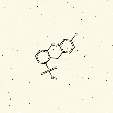 NS(=O)(=O)c1cccc(S(=O)(=O)O)c1Cc1ccc(Cl)cc1